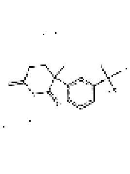 C=C1CCC(C)(c2cccc(C(C)(C)C)c2)C(=O)N1